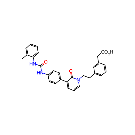 Cc1ccccc1NC(=O)Nc1ccc(-c2cccn(CCc3cccc(CC(=O)O)c3)c2=O)cc1